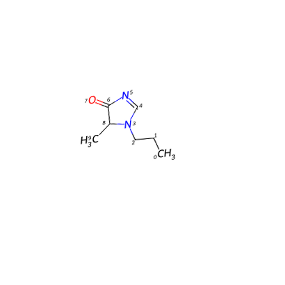 CCCN1[C]=NC(=O)C1C